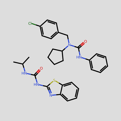 CC(C)NC(=O)Nc1nc2ccccc2s1.O=C(Nc1ccccc1)N(Cc1ccc(Cl)cc1)C1CCCC1